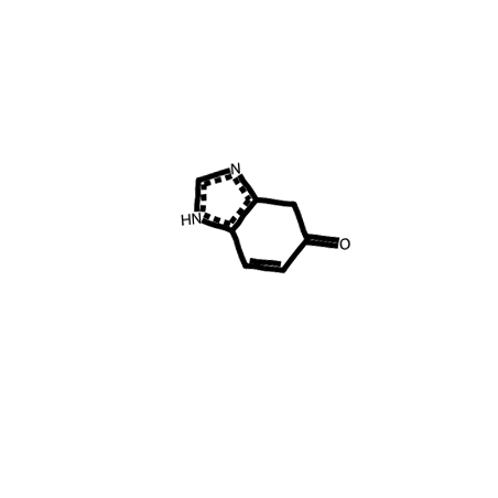 O=C1C=Cc2[nH]cnc2C1